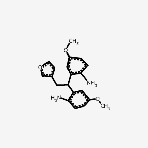 COc1ccc(N)c(C(Cc2ccoc2)c2cc(OC)ccc2N)c1